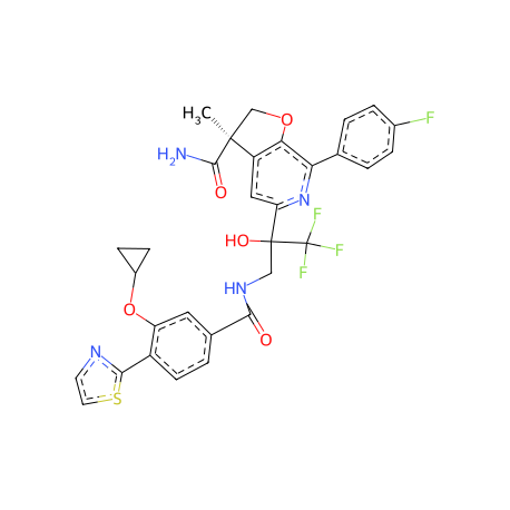 C[C@]1(C(N)=O)COc2c1cc(C(O)(CNC(=O)c1ccc(-c3nccs3)c(OC3CC3)c1)C(F)(F)F)nc2-c1ccc(F)cc1